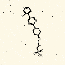 CS(=O)(=O)CCON=C1CCN(c2ncc(-c3ccccc3F)cn2)CC1